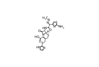 CON=C(C(=O)N[C@@H]1C(=O)N2C(C(=O)O)=C(CSc3ncc[nH]3)CS[C@@H]12)c1csc(N)n1